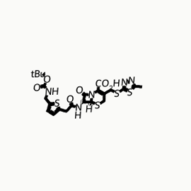 Cc1nnc(SCC2=C(C(=O)O)N3C(=O)[C@@H](NC(=O)Cc4ccc(CNC(=O)OC(C)(C)C)s4)[C@@H]3SC2)s1